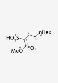 CCCCCCCCC(C(=O)OC)S(=O)(=O)O